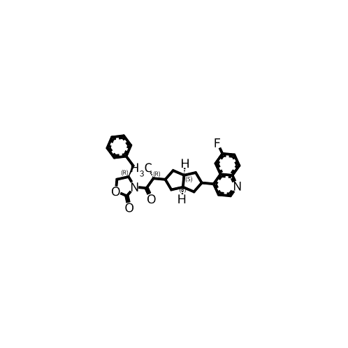 C[C@@H](C(=O)N1C(=O)OC[C@H]1Cc1ccccc1)C1C[C@H]2CC(c3ccnc4ccc(F)cc34)C[C@H]2C1